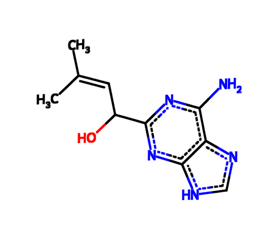 CC(C)=CC(O)c1nc(N)c2nc[nH]c2n1